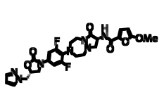 COc1ccc(C(=O)N[C@H]2CN3CCN(c4c(F)cc(N5C[C@H](Cn6cccn6)OC5=O)cc4F)CCN3C2=O)o1